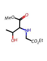 CCOC(=O)CNC(C(=O)OC)C(C)O